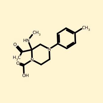 CNC1(C(C)=O)CN(c2ccc(C)cc2)CCN1C(=O)O